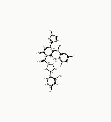 CC[C@@H](c1cc(F)cc(F)c1)n1c(-c2nc(C)cs2)nc(=O)c(C(=O)N2CCC(c3ncc(F)cc3F)C2)c1O